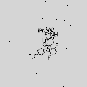 CC(C)[C@H]1C[C@@H]2C[C@](c3cc(F)ccc3F)(S(=O)(=O)c3ccc(C(F)(F)F)cc3)CC[C@@H]2NS1(=O)=O